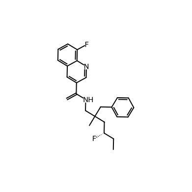 C=C(NCC(C)(Cc1ccccc1)C[C@@H](F)CC)c1cnc2c(F)cccc2c1